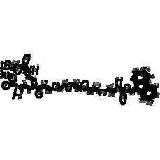 CC(C)(C)OC(=O)NCCN(CCNC(=O)OC(C)(C)C)C(=O)CCOCCOCCOCCOCCNC(=O)OCC1c2ccccc2-c2ccccc21